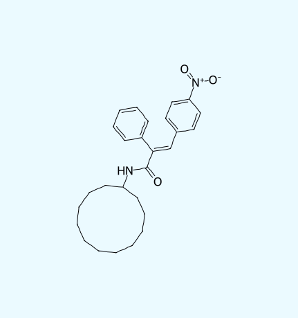 O=C(NC1CCCCCCCCCCC1)/C(=C/c1ccc([N+](=O)[O-])cc1)c1ccccc1